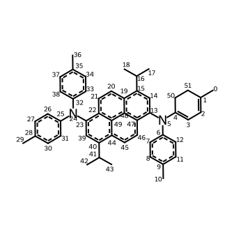 CC1=CC=C(N(c2ccc(C)cc2)c2cc(C(C)C)c3ccc4c(N(c5ccc(C)cc5)c5ccc(C)cc5)cc(C(C)C)c5ccc2c3c54)CC1